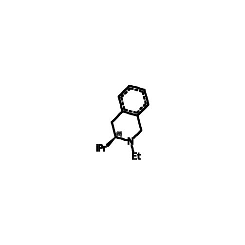 CCN1Cc2ccccc2C[C@@H]1C(C)C